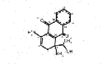 CC(O)C1(N)CC=C(N)C2=C1C(=O)c1ccccc1C2=O